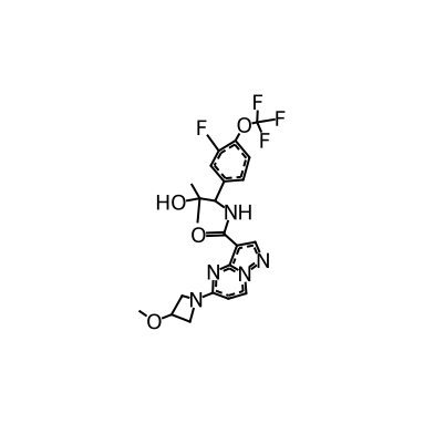 COC1CN(c2ccn3ncc(C(=O)NC(c4ccc(OC(F)(F)F)c(F)c4)C(C)(C)O)c3n2)C1